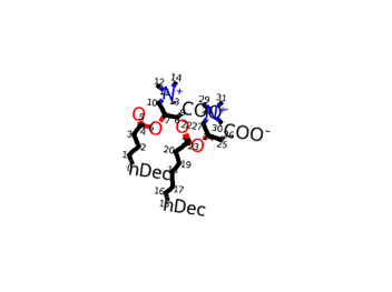 CCCCCCCCCCCCCC(=O)OC(CC(=O)[O-])C[N+](C)(C)C.CCCCCCCCCCCCCCCC(=O)OC(CC(=O)[O-])C[N+](C)(C)C